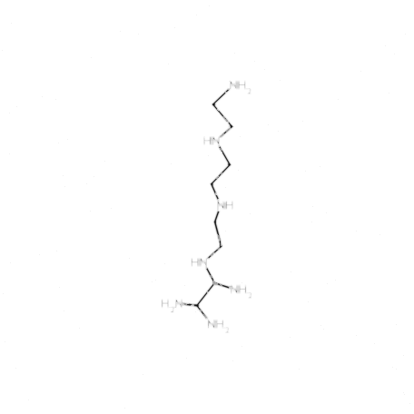 NCCNCCNCCNC(N)C(N)N